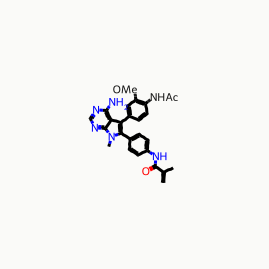 C=C(C)C(=O)Nc1ccc(-c2c(-c3ccc(NC(C)=O)c(OC)c3)c3c(N)ncnc3n2C)cc1